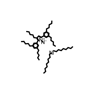 CCCCCC1=C(c2cc(CCCCC)cc(CCCCC)c2)[N+](=[N-])C(c2cc(CCCCC)cc(CCCCC)c2)=C1.CCCCCCCC[CH2][Ni][CH2]CCCCCCCC